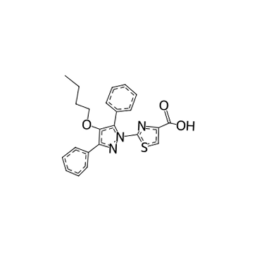 CCCCOc1c(-c2ccccc2)nn(-c2nc(C(=O)O)cs2)c1-c1ccccc1